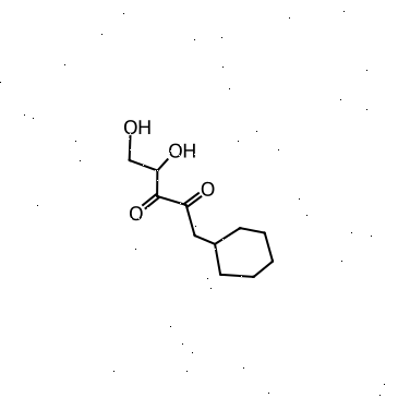 O=C(CC1CCCCC1)C(=O)C(O)CO